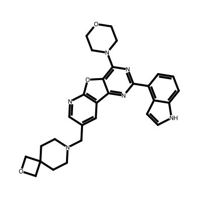 c1cc(-c2nc(N3CCOCC3)c3oc4ncc(CN5CCC6(CC5)COC6)cc4c3n2)c2cc[nH]c2c1